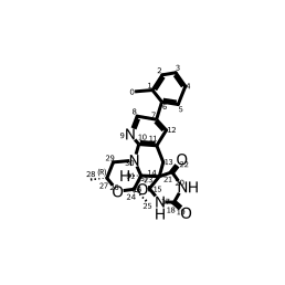 Cc1ccccc1-c1cnc2c(c1)CC1(C(=O)NC(=O)NC1=O)[C@H]1[C@H](C)O[C@H](C)CN21